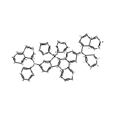 c1ccc(N(c2ccc3c(c2)C(c2ccccc2)(c2ccccc2)c2c-3c3ccccc3c3cc(N(c4ccccc4)c4cccc5ccccc45)ccc23)c2cccc3ccccc23)cc1